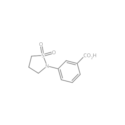 O=C(O)c1cccc(N2CCCS2(=O)=O)c1